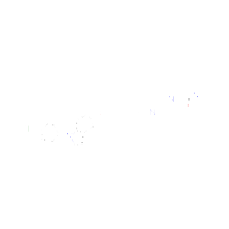 CN(C)C(=O)CN1CCN(CCCCCOc2ccc3c(ccn3-c3ccc(Cl)cc3)c2)CC1